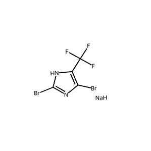 FC(F)(F)c1[nH]c(Br)nc1Br.[NaH]